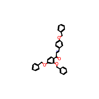 O=C(/C=C/c1ccc(OCc2ccccc2)cc1)c1ccc(OCc2ccccc2)cc1OCc1ccccc1